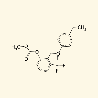 CCc1ccc(OCc2c(OC(=O)OC)cccc2C(F)(F)F)cc1